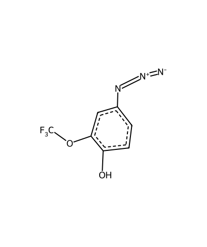 [N-]=[N+]=Nc1ccc(O)c(OC(F)(F)F)c1